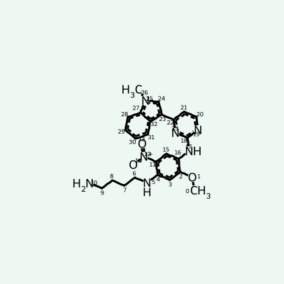 COc1cc(NCCCCN)c([N+](=O)[O-])cc1Nc1nccc(-c2cn(C)c3ccccc23)n1